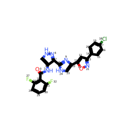 O=C(Nc1c[nH]nc1-c1nc(-c2cc(-c3ccc(Cl)cc3)no2)c[nH]1)c1c(F)cccc1F